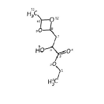 CCOC(=O)C(O)CC1OC(C)O1